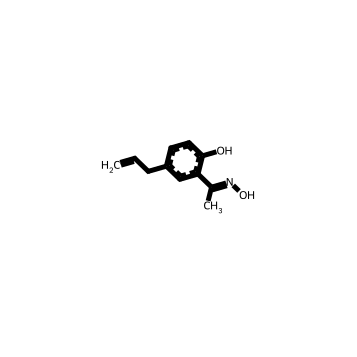 C=CCc1ccc(O)c(C(C)=NO)c1